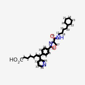 O=C(O)CCCCC=C(c1ccc(C2=NC(C(=O)NCCCCC3CCCCC3)CO2)cc1)c1cccnc1